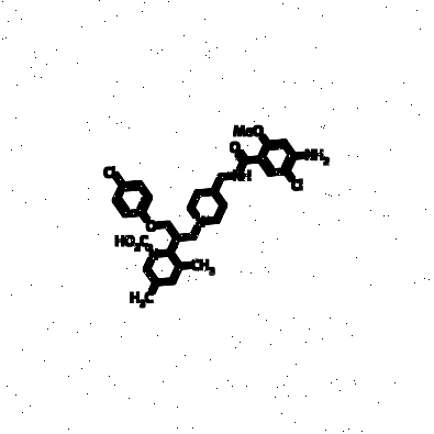 COc1cc(N)c(Cl)cc1C(=O)NCC1CCN(CC(COc2ccc(Cl)cc2)C2C(C)CC(C)CN2C(=O)O)CC1